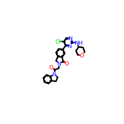 O=C1c2cc(-c3nc(NC4CCOCC4)ncc3Cl)ccc2CN1CC(=O)N1CCc2ccccc21